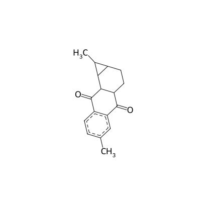 Cc1ccc2c(c1)C(=O)C1CCC3C(C)C3C1C2=O